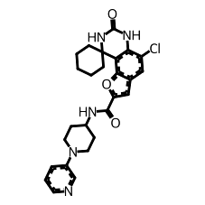 O=C1Nc2c(Cl)cc3cc(C(=O)NC4CCN(c5cccnc5)CC4)oc3c2C2(CCCCC2)N1